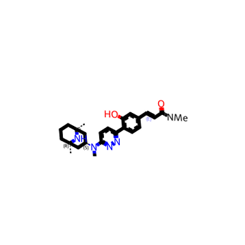 CNC(=O)/C=C/c1ccc(-c2ccc(N(C)[C@H]3C[C@]4(C)CCC[C@](C)(C3)N4)nn2)c(O)c1